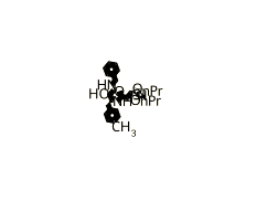 CCCN(CCC)S(=O)(=O)CCC(=O)N[C@@H](Cc1ccc(C)cc1)[C@H](O)CNCc1ccccc1